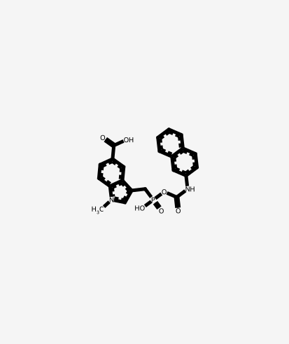 Cn1cc(CP(=O)(O)OC(=O)Nc2ccc3ccccc3c2)c2cc(C(=O)O)ccc21